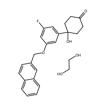 O=C1CCC(O)(c2cc(F)cc(OCc3ccc4ccccc4c3)c2)CC1.OCCO